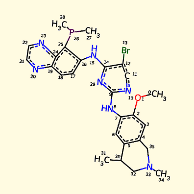 COc1cc2c(cc1Nc1ncc(Br)c(Nc3ccc4nccnc4c3P(C)C)n1)C(C)CN(C)C2